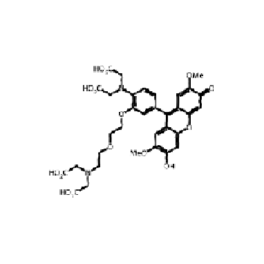 COc1cc2c(-c3ccc(N(CC(=O)O)CC(=O)O)c(OCCOCCN(CC(=O)O)CC(=O)O)c3)c3cc(OC)c(=O)cc-3oc2cc1O